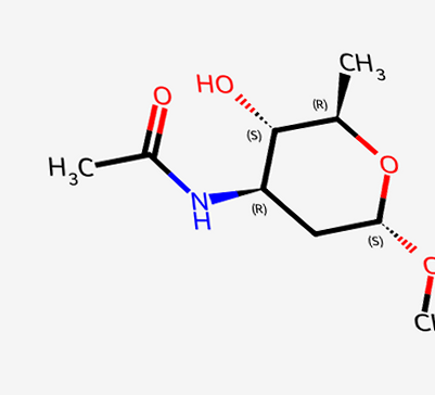 CO[C@@H]1C[C@@H](NC(C)=O)[C@H](O)[C@@H](C)O1